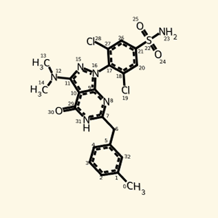 Cc1cccc(Cc2nc3c(c(N(C)C)nn3-c3c(Cl)cc(S(N)(=O)=O)cc3Cl)c(=O)[nH]2)c1